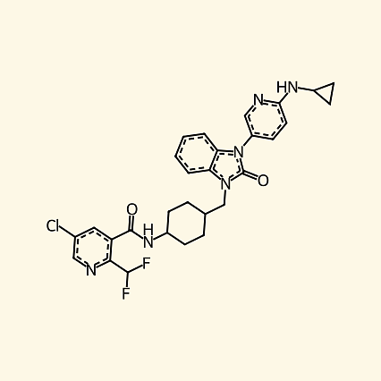 O=C(NC1CCC(Cn2c(=O)n(-c3ccc(NC4CC4)nc3)c3ccccc32)CC1)c1cc(Cl)cnc1C(F)F